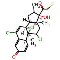 CC1C[C@H]2[C@@H]3C=C(Cl)C4=CC(=O)C=C[C@]4(C)[C@@]3(Cl)C(Cl)C[C@]2(C)[C@@]1(O)C(=O)CF